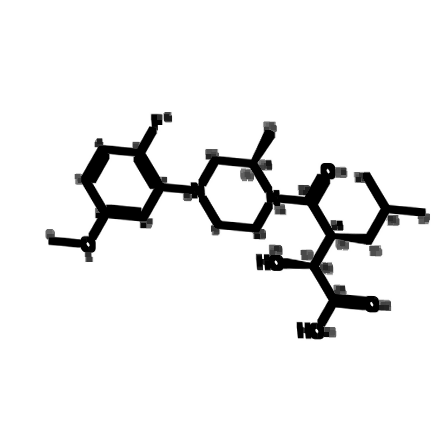 COc1ccc(F)c(N2CCN(C(=O)[C@@H](CC(C)C)[C@H](O)C(=O)O)[C@H](C)C2)c1